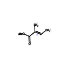 [CH2]/C=C(\C)C(=O)OC